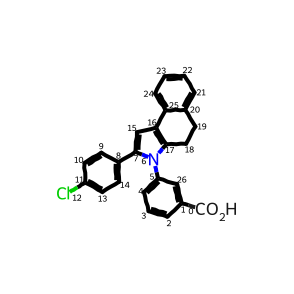 O=C(O)c1cccc(-n2c(-c3ccc(Cl)cc3)cc3c2CCc2ccccc2-3)c1